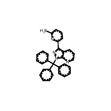 Bc1cccc(-c2nn(C(c3ccccc3)(c3ccccc3)c3ccccc3)c3ncccc23)n1